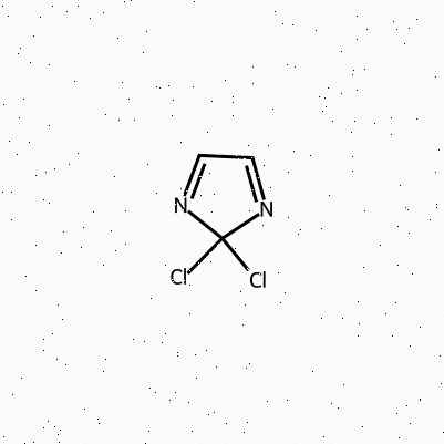 ClC1(Cl)N=CC=N1